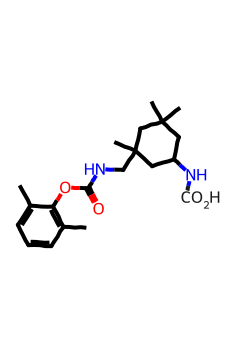 Cc1cccc(C)c1OC(=O)NCC1(C)CC(NC(=O)O)CC(C)(C)C1